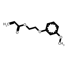 C=CC(=O)OCCOc1cccc(OC)c1